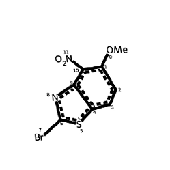 COc1ccc2sc(Br)nc2c1[N+](=O)[O-]